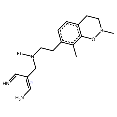 CCN(CCc1ccc2c(c1C)OB(C)CC2)C/C(C=N)=C/N